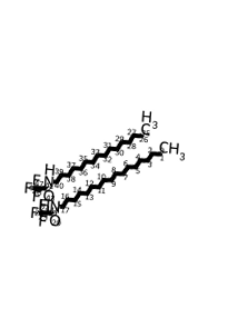 CCCCCCCCCCCCCCCCCCNC(=O)C(F)(F)F.CCCCCCCCCCCCCCCCNC(=O)C(F)(F)F